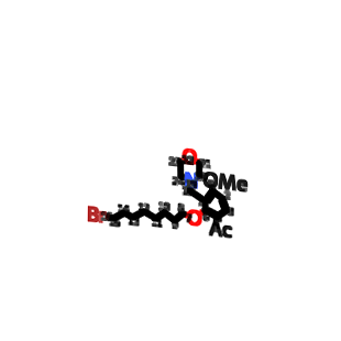 COc1ccc(C(C)=O)c(OCCCCCCCCBr)c1CN1CCOCC1